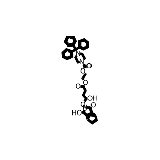 O=C(CCC(O)ON1C(=O)C2C3C=CC(C3)C2C1O)OCCOC(=O)N1CCN(C(c2ccccc2)(c2ccccc2)c2ccccc2)CC1